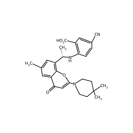 Cc1cc([C@H](C)Nc2ccc(C#N)cc2C(=O)O)c2oc(N3CCC(C)(C)CC3)cc(=O)c2c1